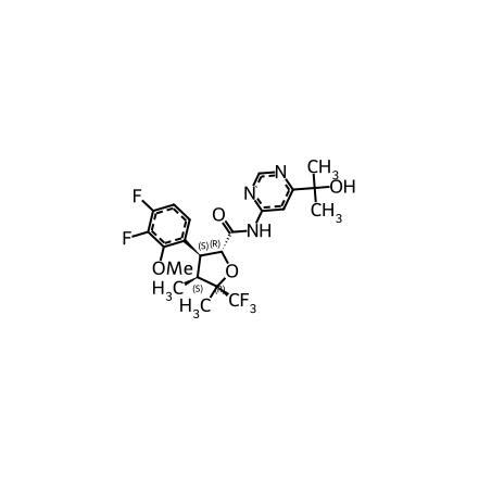 COc1c([C@H]2[C@H](C(=O)Nc3cc(C(C)(C)O)ncn3)O[C@@](C)(C(F)(F)F)[C@H]2C)ccc(F)c1F